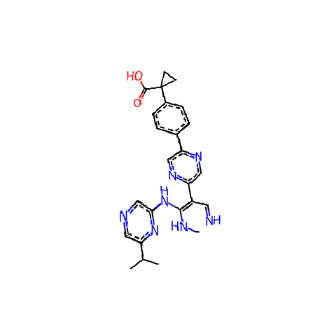 CN/C(Nc1cncc(C(C)C)n1)=C(\C=N)c1cnc(-c2ccc(C3(C(=O)O)CC3)cc2)cn1